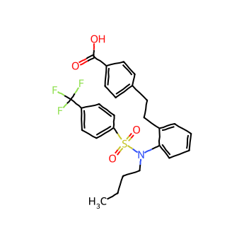 CCCCN(c1ccccc1CCc1ccc(C(=O)O)cc1)S(=O)(=O)c1ccc(C(F)(F)F)cc1